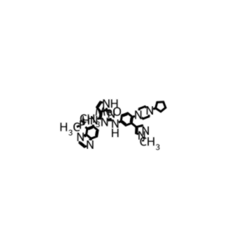 COc1cc(N2CCN(C3CCCC3)CC2)c(-c2cnn(C)c2)cc1Nc1nc(Nc2ccc3nccnc3c2P(C)C)c2cc[nH]c2n1